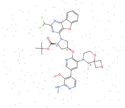 CNc1nccc(-c2cnc(O[C@H]3C[C@@H](C(=O)OC(C)(C)C)N(c4nc(C(F)F)nc5c4oc4ccccc45)C3)c(N3CCOC4(COC4)[C@@H]3C)c2)c1OC